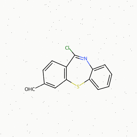 O=Cc1ccc2c(c1)Sc1ccccc1N=C2Cl